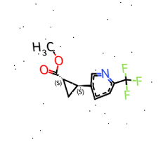 COC(=O)[C@H]1C[C@@H]1c1ccc(C(F)(F)F)nc1